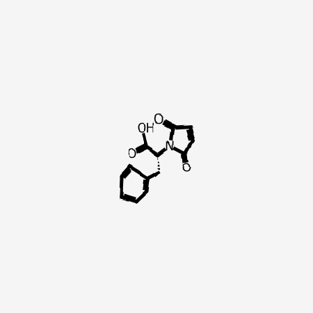 O=C(O)[C@@H](Cc1ccccc1)N1C(=O)C=CC1=O